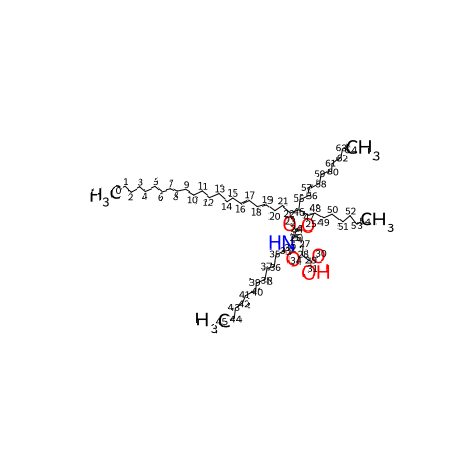 CCCCCCCCCCCCCCCCCCCCCCC(OC(=O)[C@H](CCC(=O)O)NC(=O)CCCCCCCCCCC)C(CCCCCCCC)CCCCCCCCCC